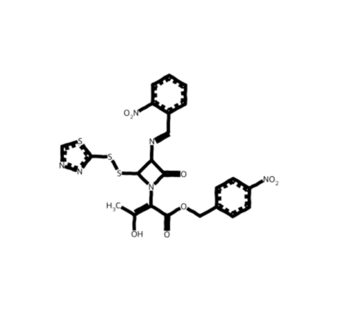 CC(O)=C(C(=O)OCc1ccc([N+](=O)[O-])cc1)N1C(=O)C(N=Cc2ccccc2[N+](=O)[O-])C1SSc1nncs1